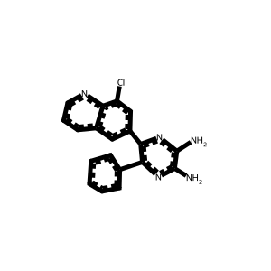 Nc1nc(-c2ccccc2)c(-c2cc(Cl)c3ncccc3c2)nc1N